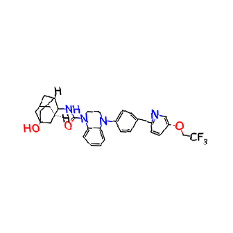 O=C(NC1[C@@H]2CC3C[C@H]1CC(O)(C3)C2)N1CCN(c2ccc(-c3ccc(OCC(F)(F)F)cn3)cc2)c2ccccc21